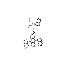 C=CC/C(=C\C=C/C)n1c(C2CC=C(c3ccc4c(-c5cccc6ccccc56)c5ccccc5c(-c5cccc6ccccc56)c4c3)CC2C)cc2ccccc21